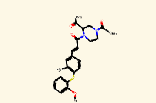 CCOc1ccccc1Sc1ccc(C=CC(=O)N2CCN(C(=O)OC)CC2C(=O)OC)cc1C(F)(F)F